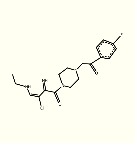 CCN/C=C(/Cl)C(=N)C(=O)N1CCN(CC(=O)c2ccc(F)cc2)CC1